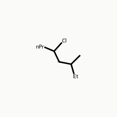 CCCC(Cl)[CH]C(C)CC